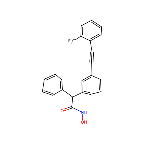 O=C(NO)C(c1ccccc1)c1cccc(C#Cc2ccccc2C(F)(F)F)c1